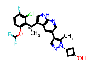 Cc1c(-c2cnc3[nH]cc([C@H](C)c4c(OC(F)F)ccc(F)c4Cl)c3c2)cnn1[C@H]1C[C@@H](O)C1